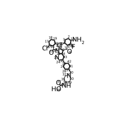 Nc1ccc(F)c(C(=O)c2cn(C(=O)c3c(Cl)cccc3Cl)c3ncc(-c4ccc(CN5CCC(NC(=O)O)CC5)cc4)cc23)c1F